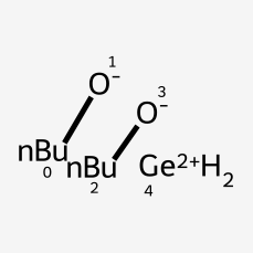 CCCC[O-].CCCC[O-].[GeH2+2]